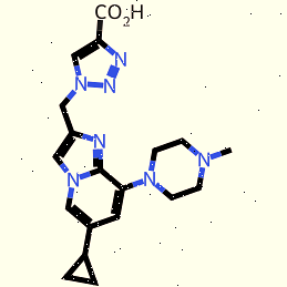 CN1CCN(c2cc(C3CC3)cn3cc(Cn4cc(C(=O)O)nn4)nc23)CC1